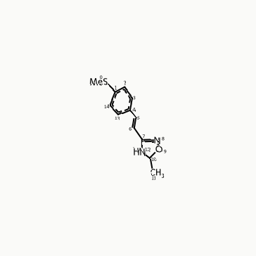 CSc1ccc(/C=C/C2=NOC(C)N2)cc1